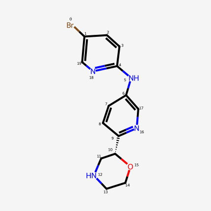 Brc1ccc(Nc2ccc([C@H]3CNCCO3)nc2)nc1